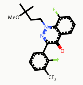 COC(C)(C)CCn1nc(-c2cccc(C(F)(F)F)c2F)c(=O)c2cccc(F)c21